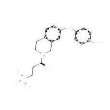 CS(=O)(=O)CCC(=O)N1CCc2ccc(Oc3ccc(C(F)(F)F)cc3)cc2C1